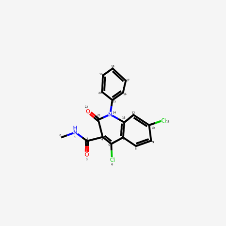 CNC(=O)c1c(Cl)c2ccc(Cl)cc2n(-c2ccccc2)c1=O